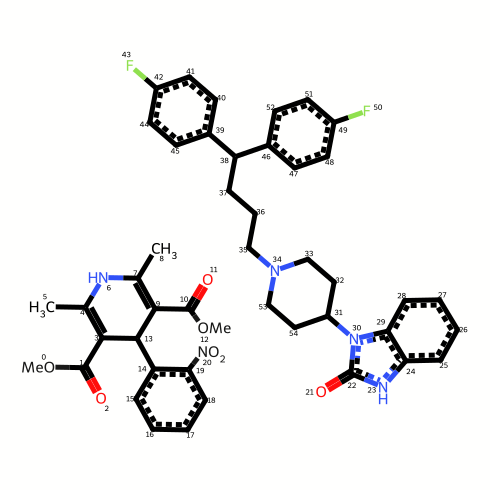 COC(=O)C1=C(C)NC(C)=C(C(=O)OC)C1c1ccccc1[N+](=O)[O-].O=c1[nH]c2ccccc2n1C1CCN(CCCC(c2ccc(F)cc2)c2ccc(F)cc2)CC1